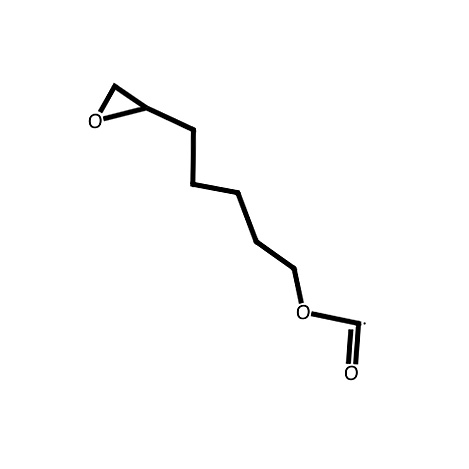 O=[C]OCCCCCC1CO1